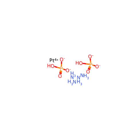 N.N.N.N.O=P([O-])([O-])O.O=P([O-])([O-])O.[Pt+4]